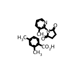 Cc1ccc(C(=O)O)c(C)c1.Cc1cccnc1N1C(=O)CCC1=O